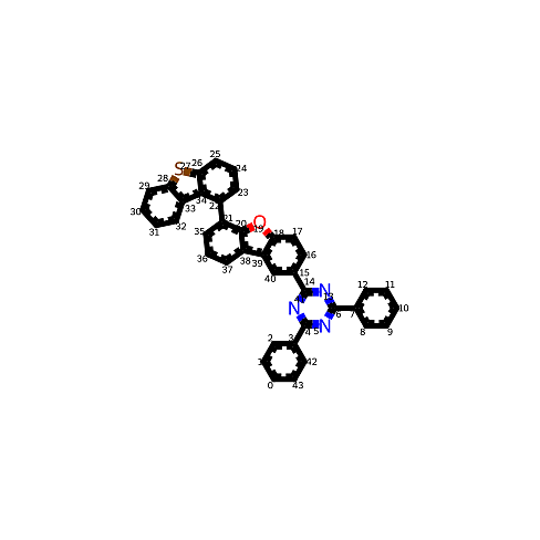 c1ccc(-c2nc(-c3ccccc3)nc(-c3ccc4oc5c(-c6cccc7sc8ccccc8c67)cccc5c4c3)n2)cc1